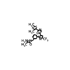 Cc1nc(C)c(-c2nnc(-c3cc(C(F)(F)F)nn3-c3cccc(CNC(=O)[C@H](C)N)c3)o2)s1